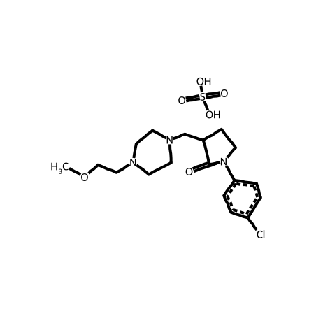 COCCN1CCN(CC2CCN(c3ccc(Cl)cc3)C2=O)CC1.O=S(=O)(O)O